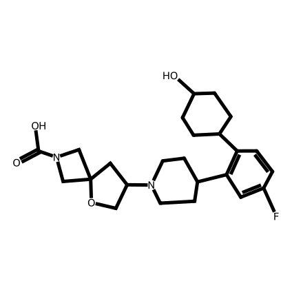 O=C(O)N1CC2(CC(N3CCC(c4cc(F)ccc4C4CCC(O)CC4)CC3)CO2)C1